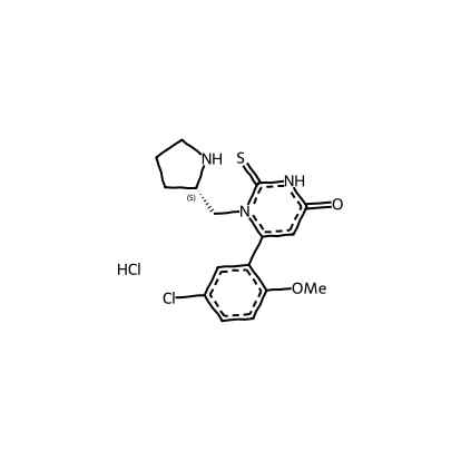 COc1ccc(Cl)cc1-c1cc(=O)[nH]c(=S)n1C[C@@H]1CCCN1.Cl